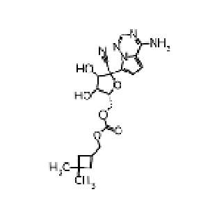 CC1(C)CC(COC(=O)OC[C@H]2O[C@@](C#N)(c3ccc4c(N)ncnn34)[C@H](O)[C@@H]2O)C1